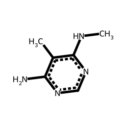 CNc1ncnc(N)c1C